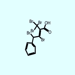 O=C(O)C(=C(Br)C(Br)c1ccccc1)C(Br)(Br)Br